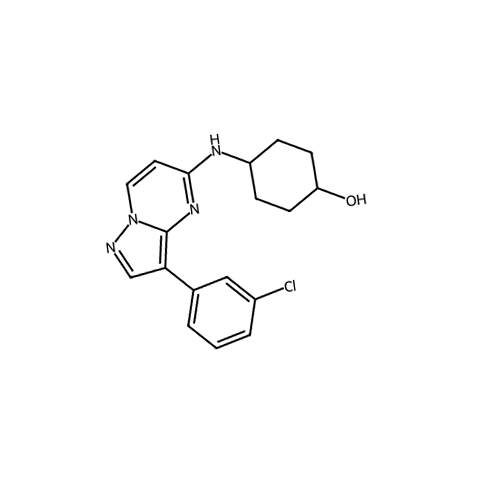 OC1CCC(Nc2ccn3ncc(-c4cccc(Cl)c4)c3n2)CC1